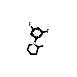 CC1CCCCN1c1cc(F)[c]c(F)c1